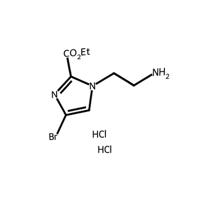 CCOC(=O)c1nc(Br)cn1CCN.Cl.Cl